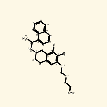 COCCOCOc1cc2c(c(F)c1Br)C[C@H](NC(C)c1cccc3ccccc13)CC2